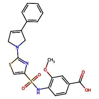 COc1cc(C(=O)O)ccc1NS(=O)(=O)c1csc(N2CC=C(c3ccccc3)C2)n1